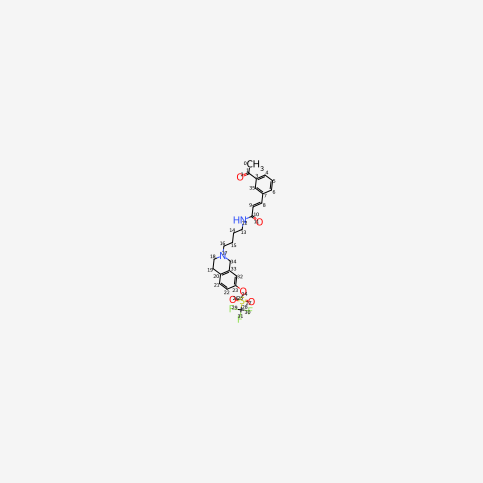 CC(=O)c1cccc(C=CC(=O)NCCCCN2CCc3ccc(OS(=O)(=O)C(F)(F)F)cc3C2)c1